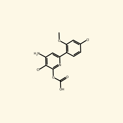 COc1cc(Cl)ccc1-c1cc(N)c(Cl)c(OC(=O)O)n1